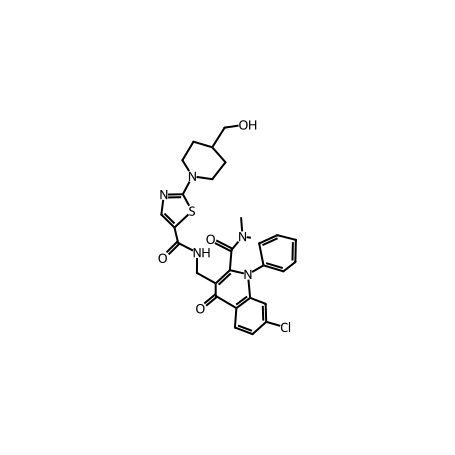 CN(C)C(=O)c1c(CNC(=O)c2cnc(N3CCC(CO)CC3)s2)c(=O)c2ccc(Cl)cc2n1-c1ccccc1